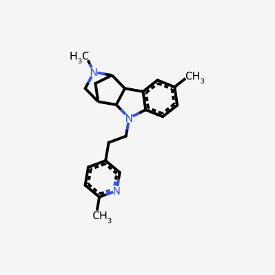 Cc1ccc2c(c1)C1C3CC(CN3C)C1N2CCc1ccc(C)nc1